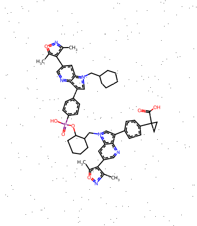 Cc1noc(C)c1-c1cnc2c(-c3ccc(P(=O)(O)OC4CCCCC4Cn4cc(-c5ccc(C6(C(=O)O)CC6)cc5)c5ncc(-c6c(C)noc6C)cc54)cc3)cn(CC3CCCCC3)c2c1